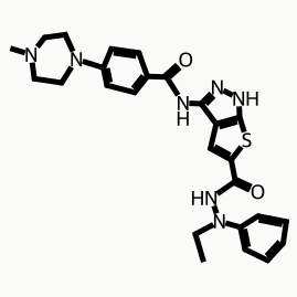 CCN(NC(=O)c1cc2c(NC(=O)c3ccc(N4CCN(C)CC4)cc3)n[nH]c2s1)c1ccccc1